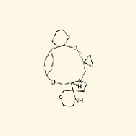 C1CCC2C3CCC(CC3)OC[C@@H]3N(CC[C@@]34COCCN4)CC3(CC3)COC2C1